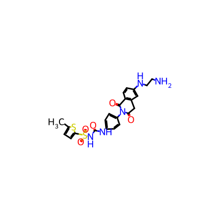 Cc1ccc(S(=O)(=O)NC(=O)Nc2ccc(N3C(=O)Cc4cc(NCCN)ccc4C3=O)cc2)s1